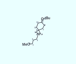 COCCCN1CC2(CCC(OC(C)(C)C)CC2)C1